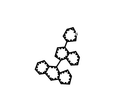 c1cncc(-c2ccc(-c3c4ccccc4cc4ccccc34)c3ccccc23)c1